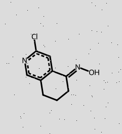 ON=C1CCCc2cnc(Cl)cc21